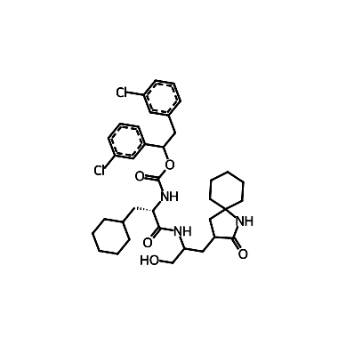 O=C(N[C@@H](CC1CCCCC1)C(=O)NC(CO)CC1CC2(CCCCC2)NC1=O)OC(Cc1cccc(Cl)c1)c1cccc(Cl)c1